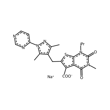 Cc1nn(-c2ccncn2)c(C)c1Cc1sc2c(c1C(=O)[O-])c(=O)n(C)c(=O)n2C(C)C.[Na+]